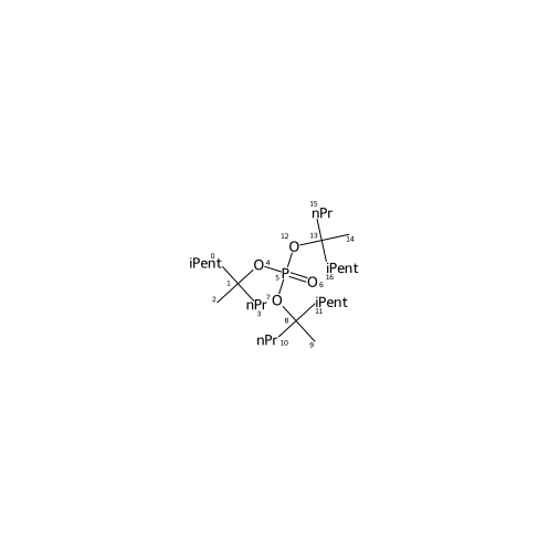 CCCC(C)C(C)(CCC)OP(=O)(OC(C)(CCC)C(C)CCC)OC(C)(CCC)C(C)CCC